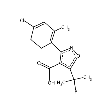 CC1=C(c2noc(C(C)(C)F)c2C(=O)O)CCC(Cl)=C1